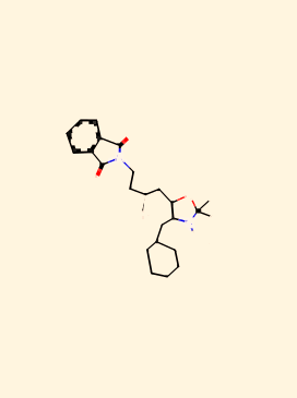 CC(C)[C@@H](CCN1C(=O)c2ccccc2C1=O)CC1OC(C)(C)N(C(=O)O)C1CC1CCCCC1